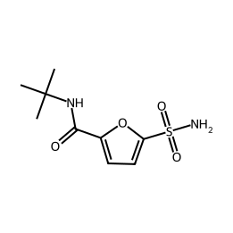 CC(C)(C)NC(=O)c1ccc(S(N)(=O)=O)o1